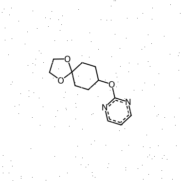 c1cnc(OC2CCC3(CC2)OCCO3)nc1